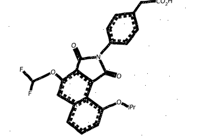 CC(C)Oc1cccc2cc(OC(F)F)c3c(c12)C(=O)N(c1ccc(CC(=O)O)cc1)C3=O